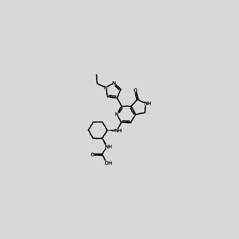 CCn1cc(-c2nc(N[C@@H]3CCCC[C@@H]3NC(=O)O)cc3c2C(=O)NC3)cn1